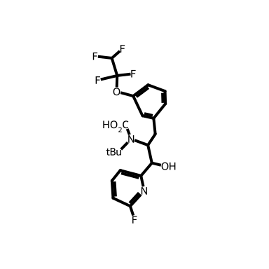 CC(C)(C)N(C(=O)O)C(Cc1cccc(OC(F)(F)C(F)F)c1)C(O)c1cccc(F)n1